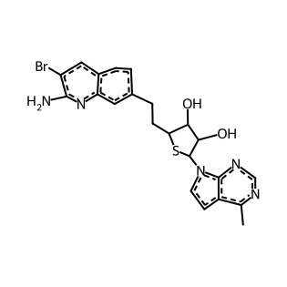 Cc1ncnc2c1ccn2C1SC(CCc2ccc3cc(Br)c(N)nc3c2)C(O)C1O